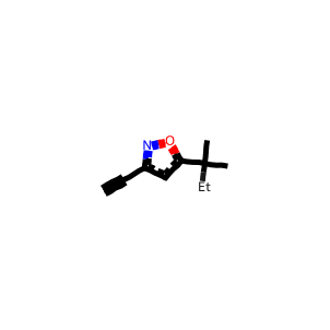 C#Cc1cc(C(C)(C)CC)on1